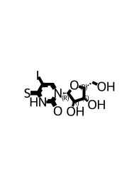 O=c1[nH]c(=S)c(I)cn1[C@@H]1O[C@H](CO)[C@@H](O)[C@H]1O